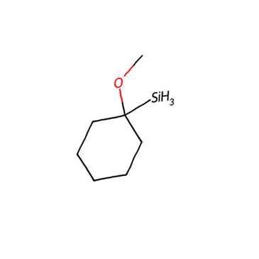 COC1([SiH3])CCCCC1